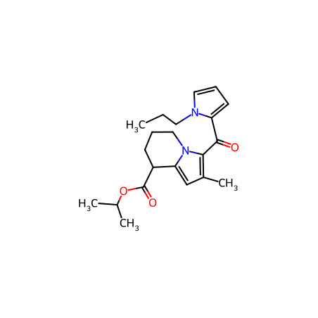 CCCn1cccc1C(=O)c1c(C)cc2n1CCCC2C(=O)OC(C)C